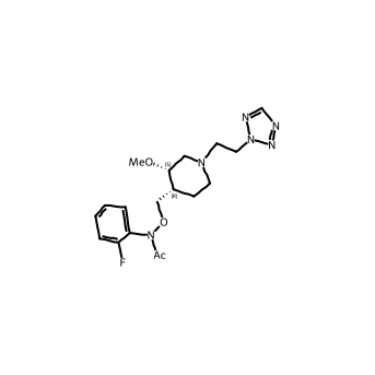 CO[C@@H]1CN(CCn2ncnn2)CC[C@@H]1CON(C(C)=O)c1ccccc1F